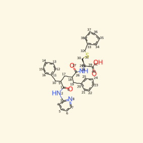 O=C(Nc1ccccn1)C(Cc1ccccc1)CC(Cc1ccccc1)C(=O)N[C@@H](CSCc1ccccc1)C(=O)O